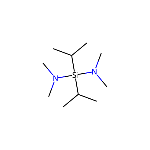 CC(C)[Si](C(C)C)(N(C)C)N(C)C